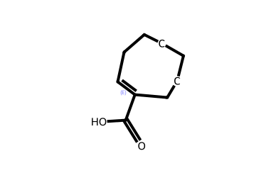 O=C(O)/C1=C/CCCCCC1